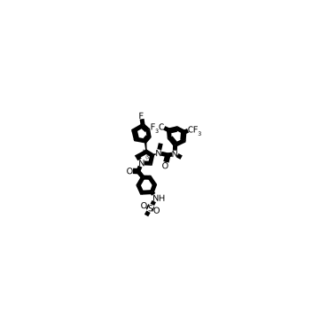 CN(C(=O)N(C)[C@@H]1CN(C(=O)C2CCC(NS(C)(=O)=O)CC2)C[C@H]1c1ccc(F)cc1)c1cc(C(F)(F)F)cc(C(F)(F)F)c1